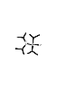 CC(C)[SiH](C(C)C)[Si](Br)(C(C)C)C(C)C